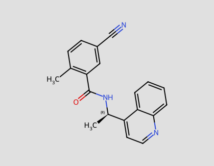 Cc1ccc(C#N)cc1C(=O)N[C@H](C)c1ccnc2ccccc12